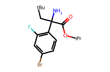 CC(C)OC(=O)C(N)(CC(C)(C)C)c1ccc(Br)cc1F